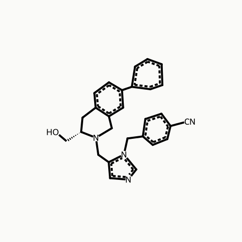 N#Cc1ccc(Cn2cncc2CN2Cc3cc(-c4ccccc4)ccc3C[C@H]2CO)cc1